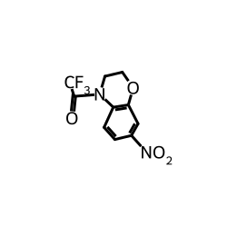 O=C(N1CCOc2cc([N+](=O)[O-])ccc21)C(F)(F)F